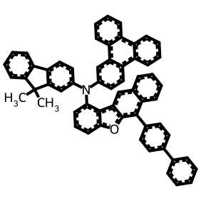 CC1(C)c2ccccc2-c2ccc(N(c3ccc4c5ccccc5c5ccccc5c4c3)c3cccc4oc5c(-c6ccc(-c7ccccc7)cc6)c6ccccc6cc5c34)cc21